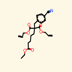 C=CCOC(=O)C(CCCCC(=O)OCC)(Cc1ccc(C#N)cc1)C(=O)OCC=C